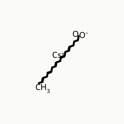 CCC=CCC=CCC=CCC=CCC=CCCCC(=O)[O-].[Cs+]